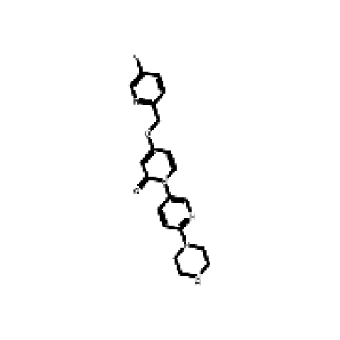 O=c1cc(OCc2ccc(Cl)cn2)ccn1-c1ccc(N2CCNCC2)nc1